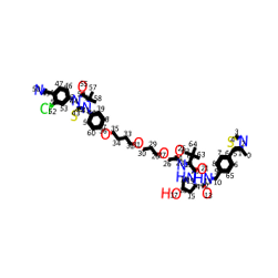 Cc1ncsc1-c1ccc(CNC(=O)[C@@H]2C[C@@H](O)CN2C(=O)C(NC(=O)COCCCOCCCCOc2ccc(N3C(=S)N(c4ccc(C#N)c(Cl)c4)C(=O)C3(C)C)cc2)C(C)(C)C)cc1